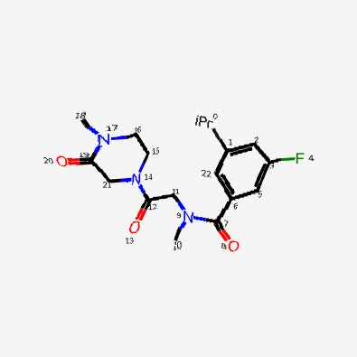 CC(C)c1cc(F)cc(C(=O)N(C)CC(=O)N2CCN(C)C(=O)C2)c1